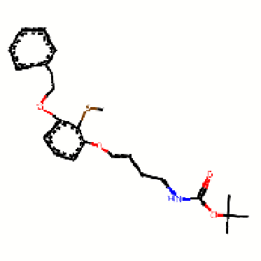 CSc1c(OCCCCNC(=O)OC(C)(C)C)cccc1OCc1ccccc1